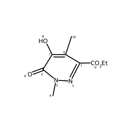 CCOC(=O)c1nn(C)c(=O)c(O)c1C